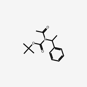 CC(=O)N(C(=O)OC(C)(C)C)C(C)c1ccccc1